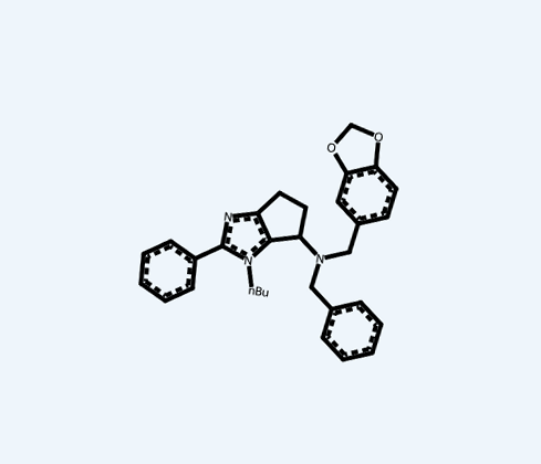 CCCCn1c(-c2ccccc2)nc2c1C(N(Cc1ccccc1)Cc1ccc3c(c1)OCO3)CC2